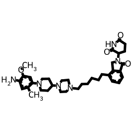 COc1cc(N2CCC(N3CCN(CCCCCCc4cccc5c4CN(C4CCC(=O)NC4=O)C5=O)CC3)CC2)c(C)cc1N